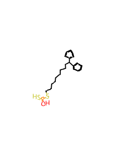 OP(S)SCCCCCCCCCC(c1ccccc1)c1ccccc1